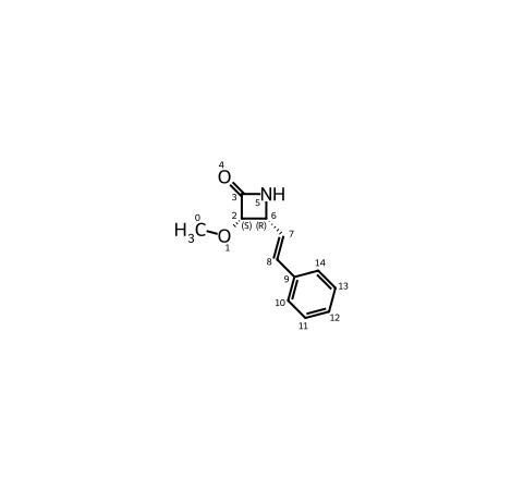 CO[C@@H]1C(=O)N[C@@H]1C=Cc1ccccc1